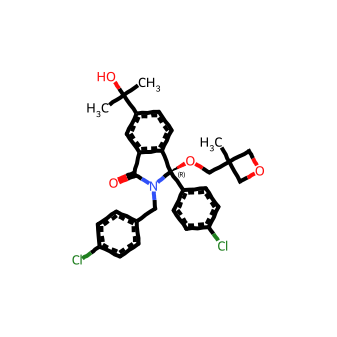 CC1(CO[C@]2(c3ccc(Cl)cc3)c3ccc(C(C)(C)O)cc3C(=O)N2Cc2ccc(Cl)cc2)COC1